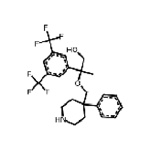 CC(CO)(OCC1(c2ccccc2)CCNCC1)c1cc(C(F)(F)F)cc(C(F)(F)F)c1